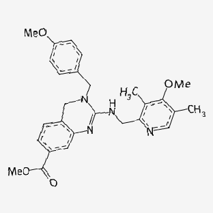 COC(=O)c1ccc2c(c1)N=C(NCc1ncc(C)c(OC)c1C)N(Cc1ccc(OC)cc1)C2